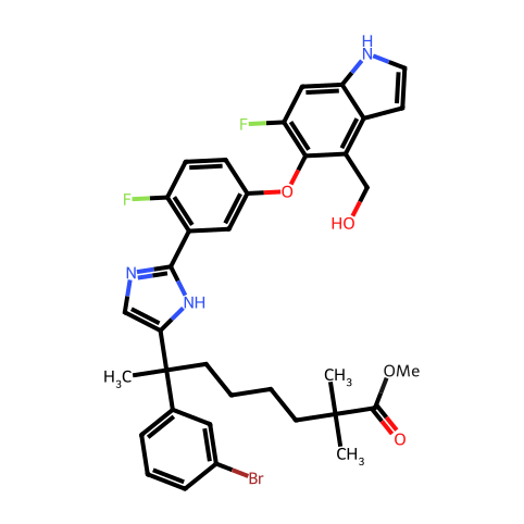 COC(=O)C(C)(C)CCCCC(C)(c1cccc(Br)c1)c1cnc(-c2cc(Oc3c(F)cc4[nH]ccc4c3CO)ccc2F)[nH]1